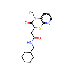 CCN1C(=O)C(CC(=O)NCC2CCCCC2)Sc2ncccc21